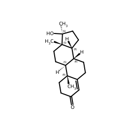 C[C@]12CCC(=O)C=C1CC[C@H]1[C@H]3CC[C@](C)(O)[C@@]3(C)CC[C@@H]12